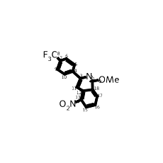 COc1nc(-c2ccc(C(F)(F)F)cc2)cc2c([N+](=O)[O-])cccc12